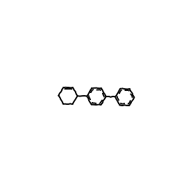 C1=CC(c2ccc(-c3ccccc3)cc2)CCC1